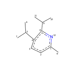 Cc1ccc(C(C)C)c(C(C)C)n1